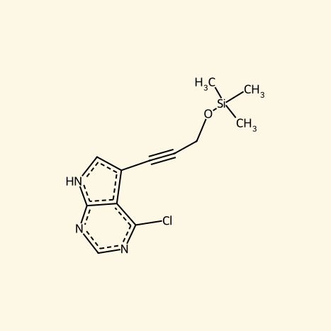 C[Si](C)(C)OCC#Cc1c[nH]c2ncnc(Cl)c12